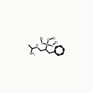 CCO[Si](OCC)(OCC)C(CNC(C)N)Cc1ccccc1